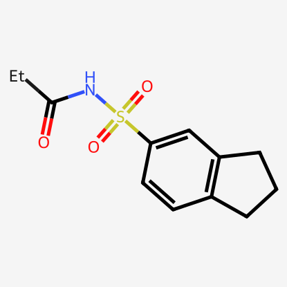 CCC(=O)NS(=O)(=O)c1ccc2c(c1)CCC2